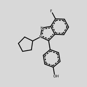 Oc1ccc(-c2c3cccc(F)c3nn2C2CCCC2)cc1